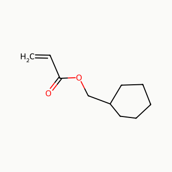 C=CC(=O)OCC1CCCCC1